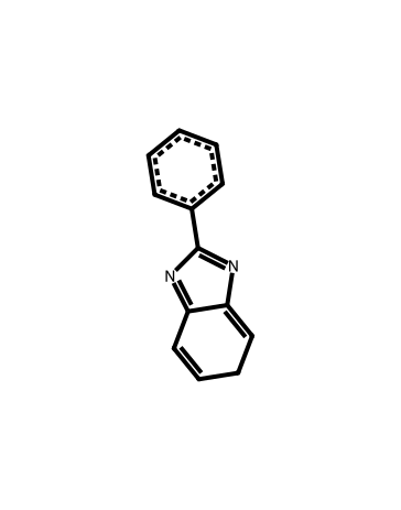 C1=CC2=NC(c3ccccc3)=NC2=CC1